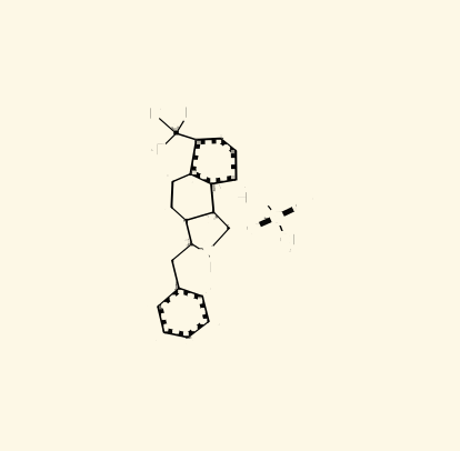 CS(=O)(=O)O.FC(F)(F)c1cccc2c1CCC1C(Cc3ccccc3)NCC21